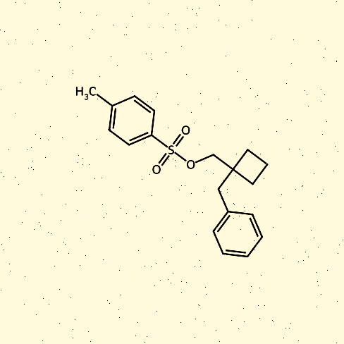 Cc1ccc(S(=O)(=O)OCC2(Cc3ccccc3)CCC2)cc1